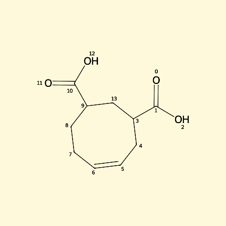 O=C(O)C1CC=CCCC(C(=O)O)C1